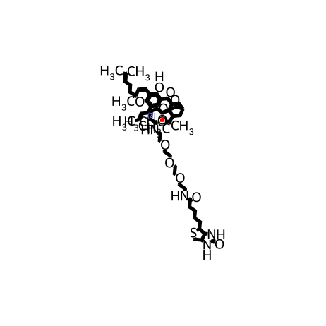 CC(C)=CCCC1(C)C=Cc2c(O)c3c(c(CC=C(C)C)c2O1)OC12C(CC4CC1C(C)(C)OC2(C/C=C(/C)C(=O)NCCOCCOCCOCCNC(=O)CCCCC1SCC2NC(=O)NC21)C4=O)C3=O